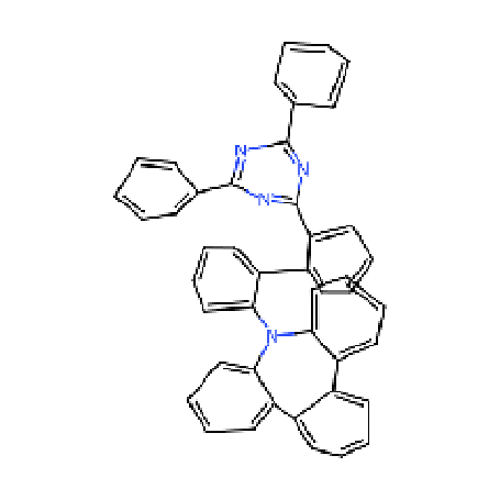 c1ccc(-c2nc(-c3ccccc3)nc(-c3ccccc3-c3ccccc3N3c4ccccc4-c4ccccc4-c4ccccc43)n2)cc1